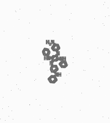 Nc1ccc(N=C2C=C(Nc3ccccc3)C(=Nc3ccc(Nc4ccccc4)cc3)C=C2Nc2ccccc2)cc1